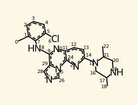 Cc1cccc(Cl)c1Nc1nc2ccc(N3CC(C)NCC3C)nc2n2cncc12